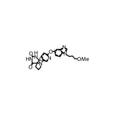 COCCCn1cnc2cc(Oc3ccc(N4CCCC45C(=O)NC(=O)NC5=O)cn3)ccc21